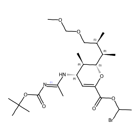 COCOC[C@@H](C)[C@@H](C)[C@@H]1OC(C(=O)OC(C)Br)=C[C@H](N/C(C)=N/C(=O)OC(C)(C)C)[C@H]1C